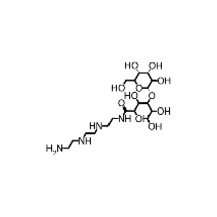 NCCNCCNCCNC(=O)C(O)C(O)C(O[C@@H]1OC(CO)[C@H](O)[C@H](O)C1O)C(O)CO